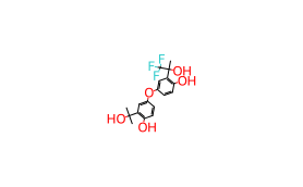 CC(C)(O)c1cc(Oc2ccc(O)c(C(C)(O)C(F)(F)F)c2)ccc1O